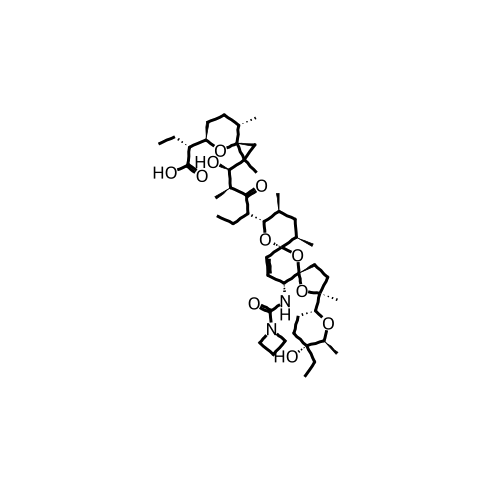 CCC(C(=O)[C@@H](C)[C@@H](O)C1(C)C[C@]12O[C@@H]([C@@H](CC)C(=O)O)CC[C@@H]2C)[C@H]1O[C@]2(C=C[C@@H](NC(=O)N3CCC3)[C@]3(CC[C@@](C)([C@H]4CC[C@](O)(CC)[C@H](C)O4)O3)O2)[C@H](C)C[C@@H]1C